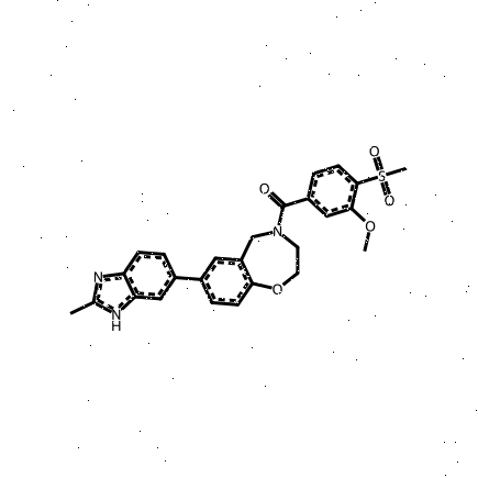 COc1cc(C(=O)N2CCOc3ccc(-c4ccc5nc(C)[nH]c5c4)cc3C2)ccc1S(C)(=O)=O